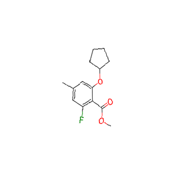 COC(=O)c1c(F)cc(C)cc1OC1CCCC1